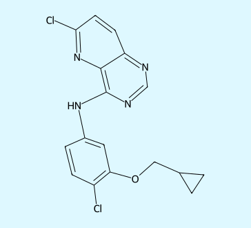 Clc1ccc2ncnc(Nc3ccc(Cl)c(OCC4CC4)c3)c2n1